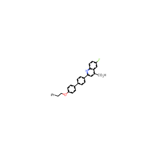 CC(C)CCOc1ccc(-c2ccc(-c3cc(C(=O)O)c4cc(F)ccc4n3)cc2)cc1